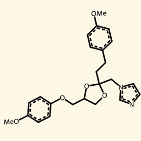 COc1ccc(CCC2(Cn3ccnc3)OCC(COc3ccc(OC)cc3)O2)cc1